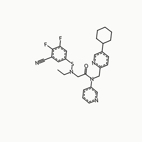 CCN(CC(=O)N(Cc1ccc(C2CCCCC2)cn1)c1cccnc1)Sc1cc(F)c(F)c(C#N)c1